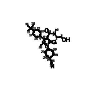 CN(CCO)C(=O)c1c(-c2ccc(C(C)(C)C)cc2)n(C)n(-c2ccc(C#N)cc2)c1=O